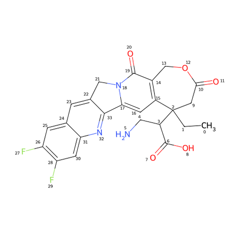 CCC1(C(CN)C(=O)O)CC(=O)OCc2c1cc1n(c2=O)Cc2cc3cc(F)c(F)cc3nc2-1